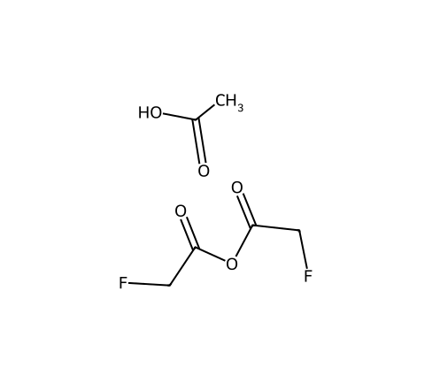 CC(=O)O.O=C(CF)OC(=O)CF